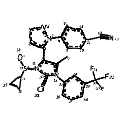 Cc1c(-c2ccnn2-c2ccc(C#N)cc2)n([S+]([O-])C2CC2)c(=O)n1-c1cccc(C(F)(F)F)c1